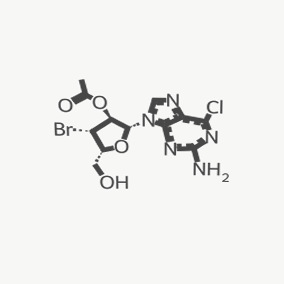 CC(=O)O[C@@H]1[C@@H](Br)[C@@H](CO)O[C@H]1n1cnc2c(Cl)nc(N)nc21